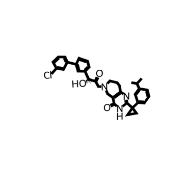 CC(C)c1cccc(C2(c3nc4c(c(=O)[nH]3)CN(CC(=O)[C@H](O)c3cccc(-c5cccc(Cl)c5)c3)CCC4)CC2)c1